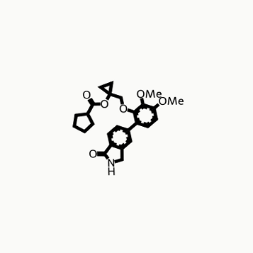 COc1ccc(-c2ccc3c(c2)CNC3=O)c(OCC2(OC(=O)C3CCCC3)CC2)c1OC